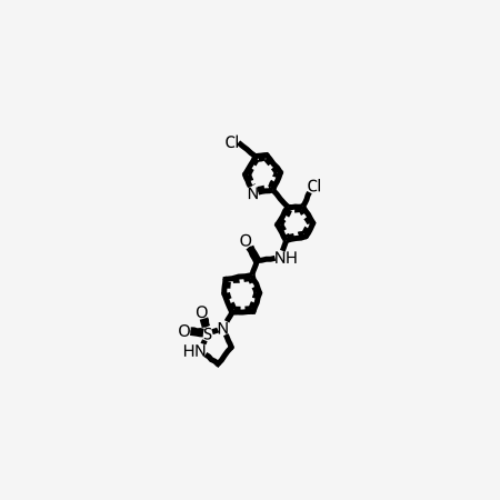 O=C(Nc1ccc(Cl)c(-c2ccc(Cl)cn2)c1)c1ccc(N2CCNS2(=O)=O)cc1